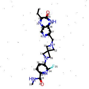 CCc1nc2cnc(CN3CC4(C3)CN(c3ccc(C(=O)NC)nc3F)C4)cc2[nH]c1=O